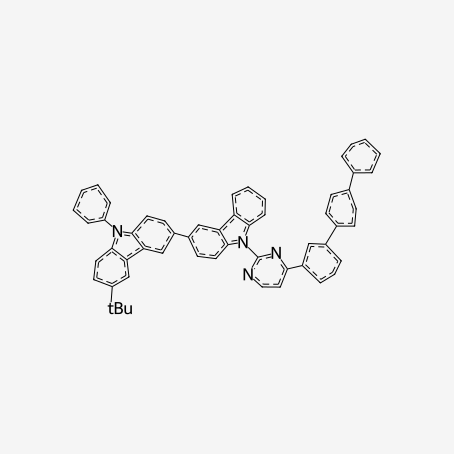 CC(C)(C)c1ccc2c(c1)c1cc(-c3ccc4c(c3)c3ccccc3n4-c3nccc(-c4cccc(-c5ccc(-c6ccccc6)cc5)c4)n3)ccc1n2-c1ccccc1